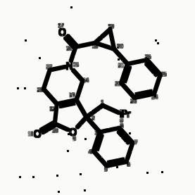 CC(C)CC1(c2ccccc2)OC(=O)C2=C1CN(C(=O)C1CC1c1ccccc1)CC2